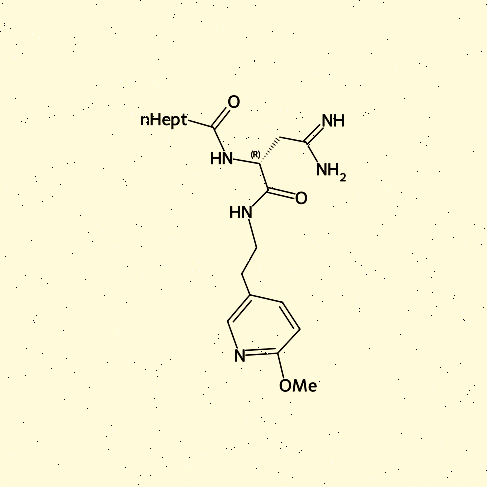 CCCCCCCC(=O)N[C@H](CC(=N)N)C(=O)NCCc1ccc(OC)nc1